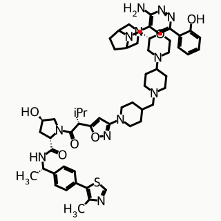 Cc1ncsc1-c1ccc([C@H](C)NC(=O)[C@@H]2C[C@@H](O)CN2C(=O)[C@@H](c2cc(N3CCC(CN4CCC(N5CCO[C@@H](CN6C7CCC6CN(c6cc(-c8ccccc8O)nnc6N)C7)C5)CC4)CC3)no2)C(C)C)cc1